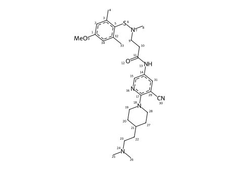 COc1cc(C)c(SN(C)CCC(=O)Nc2cnc(N3CCC(CCN(C)C)CC3)c(C#N)c2)c(C)c1